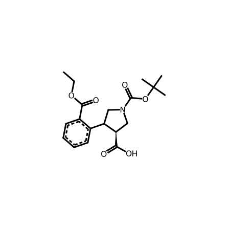 CCOC(=O)c1ccccc1C1CN(C(=O)OC(C)(C)C)C[C@H]1C(=O)O